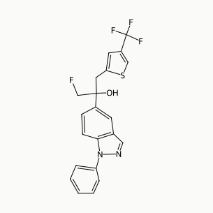 OC(CF)(Cc1cc(C(F)(F)F)cs1)c1ccc2c(cnn2-c2ccccc2)c1